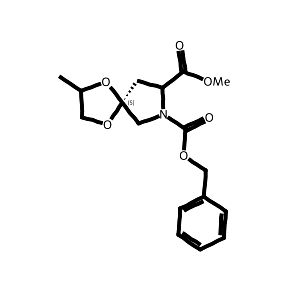 COC(=O)C1C[C@]2(CN1C(=O)OCc1ccccc1)OCC(C)O2